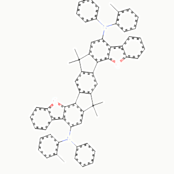 Cc1ccccc1N(c1ccccc1)c1cc2c(c3oc4ccccc4c13)-c1cc3c(cc1C2(C)C)-c1c(cc(N(c2ccccc2)c2ccccc2C)c2c1oc1ccccc12)C3(C)C